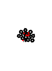 CN(C)c1cc(N2C(c3ccccc3)(c3ccccc3)c3ccccc3C2(c2ccccc2)c2ccccc2)cc(N2C(c3ccccc3)(c3ccccc3)c3ccccc3C2(c2ccccc2)c2ccccc2)c1